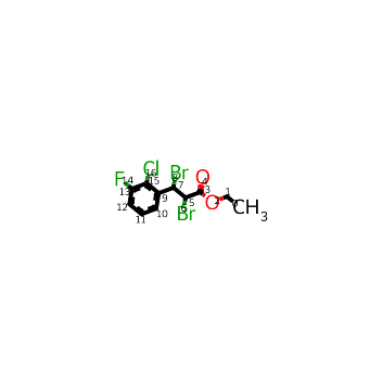 CCOC(=O)C(Br)C(Br)c1cccc(F)c1Cl